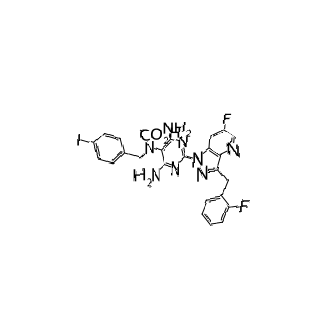 Nc1nc(-n2nc(Cc3ccccc3F)c3ncc(F)cc32)nc(N)c1N(Cc1ccc(I)cc1)C(=O)O